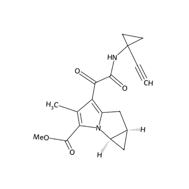 C#CC1(NC(=O)C(=O)c2c(C)c(C(=O)OC)n3c2C[C@H]2C[C@H]23)CC1